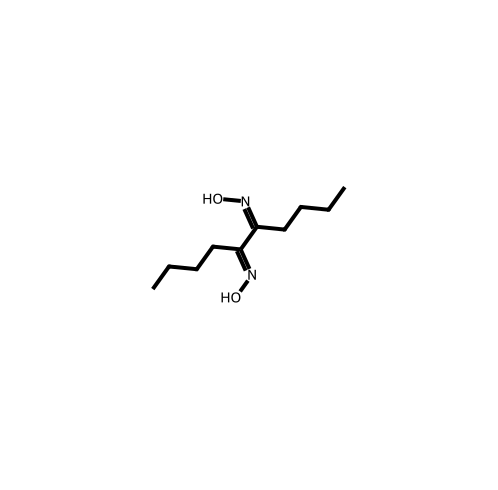 CCCCC(=NO)C(CCCC)=NO